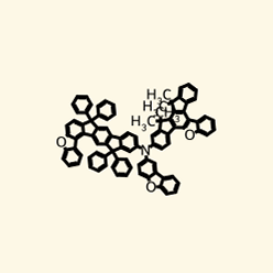 CC1(C)c2cc(N(c3ccc4c(c3)C(c3ccccc3)(c3ccccc3)c3cc5c(cc3-4)C(c3ccccc3)(c3ccccc3)c3ccc4oc6ccccc6c4c3-5)c3ccc4oc5ccccc5c4c3)ccc2-c2c1c1c(c3c2oc2ccccc23)-c2ccccc2C1(C)C